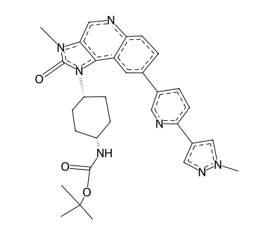 Cn1cc(-c2ccc(-c3ccc4ncc5c(c4c3)n([C@H]3CC[C@@H](NC(=O)OC(C)(C)C)CC3)c(=O)n5C)cn2)cn1